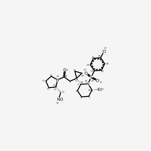 CC[C@@H]1CCC[C@H](C2(CC(=O)N3CCC[C@H]3CN=O)CC2)N1S(=O)(=O)c1ccc(Cl)cc1